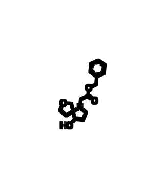 O=C(CN1CC=C(O)C12CCOC2)OCc1ccccc1